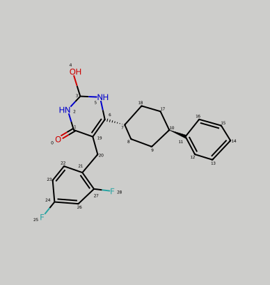 O=C1NC(O)NC([C@H]2CC[C@H](c3ccccc3)CC2)=C1Cc1ccc(F)cc1F